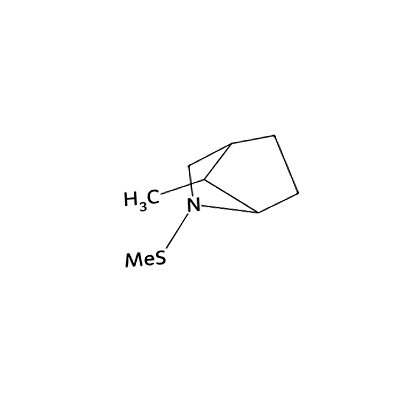 CSN1CC2CCC1C2C